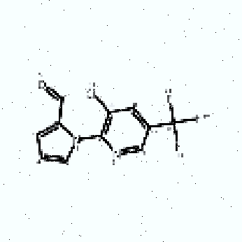 O=Cc1cccn1-c1ncc(C(F)(F)F)cc1Cl